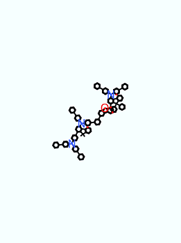 CC1(C)c2ccccc2-c2c(N(c3ccc(-c4ccccc4)cc3)c3ccc(-c4cccc(-c5ccc6oc7c(-c8ccc(N(c9ccc(-c%10ccccc%10)cc9)c9ccc(-c%10ccccc%10)cc9)c9c8C(c8ccccc8)(c8ccccc8)c8ccccc8-9)cccc7c6c5)c4)cc3)ccc(-c3ccc(N(c4ccc(-c5ccccc5)cc4)c4ccc(-c5ccccc5)cc4)cc3)c21